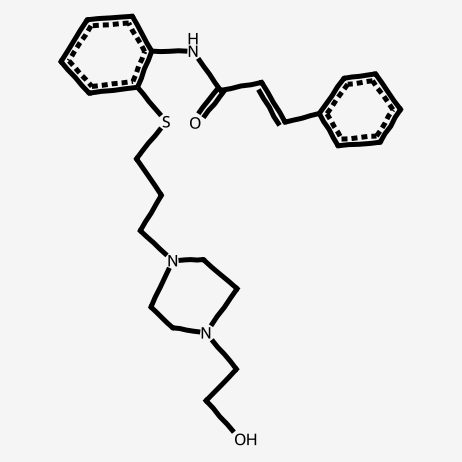 O=C(C=Cc1ccccc1)Nc1ccccc1SCCCN1CCN(CCO)CC1